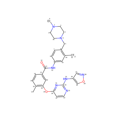 CCN1CCN(Cc2ccc(NC(=O)c3ccc(C)c(Oc4ccnc(Nc5cnoc5)n4)c3)cc2C(F)(F)F)CC1